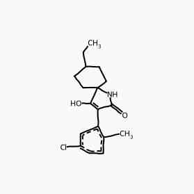 CCC1CCC2(CC1)NC(=O)C(c1cc(Cl)ccc1C)=C2O